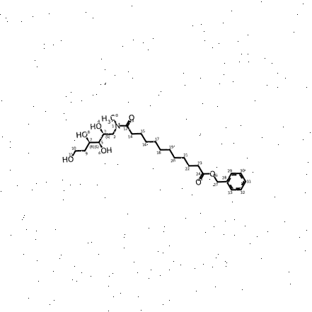 CN(C[C@H](O)[C@@H](O)[C@H](O)CCO)C(=O)CCCCCCCCCCC(=O)OCc1ccccc1